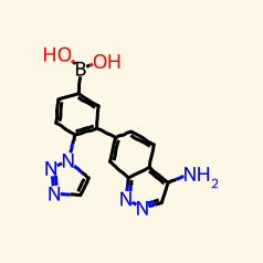 Nc1cnnc2cc(-c3cc(B(O)O)ccc3-n3ccnn3)ccc12